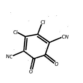 N#CC1=C(Cl)C(Cl)=C(C#N)C(=O)C1=O